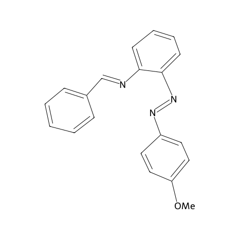 COc1ccc(N=Nc2ccccc2N=Cc2ccccc2)cc1